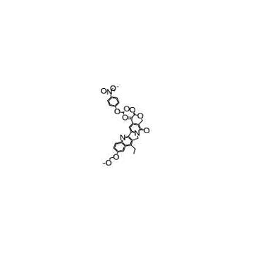 CCc1c2c(nc3ccc(OCOC)cc13)-c1cc3c(c(=O)n1C2)COC(=O)[C@H]3OC(=O)Oc1ccc([N+](=O)[O-])cc1